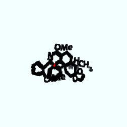 COc1ccccc1-c1nc(OC)c2c(n1)[C@@]1(c3ccccc3)CCC3(OCCO3)[C@@H](C)[C@@H]1CC2